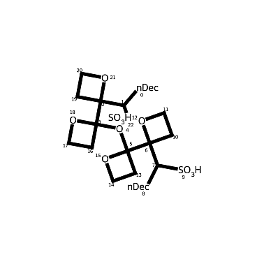 CCCCCCCCCCC(C1(C2(OC3(C4(C(CCCCCCCCCC)S(=O)(=O)O)CCO4)CCO3)CCO2)CCO1)S(=O)(=O)O